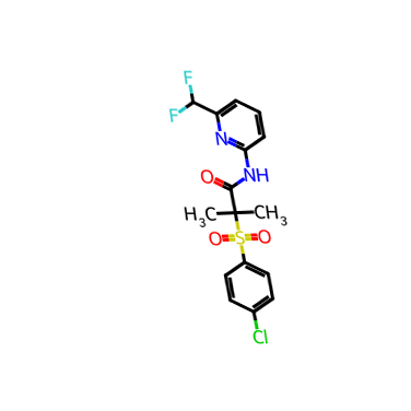 CC(C)(C(=O)Nc1cccc(C(F)F)n1)S(=O)(=O)c1ccc(Cl)cc1